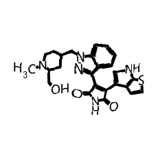 CN1CCC(Cn2nc(C3=C(c4c[nH]c5sccc45)C(=O)NC3=O)c3ccccc32)CC1CO